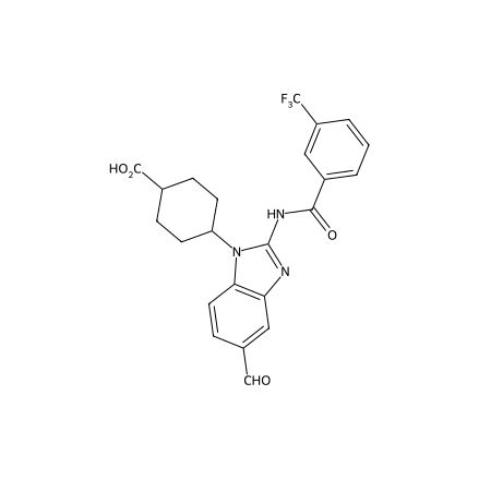 O=Cc1ccc2c(c1)nc(NC(=O)c1cccc(C(F)(F)F)c1)n2C1CCC(C(=O)O)CC1